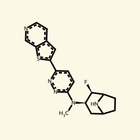 CN(c1ccc(-c2cc3ccncc3s2)nn1)[C@@H]1CC2CCC(N2)[C@@H]1F